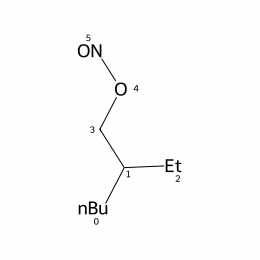 CCCCC(CC)CON=O